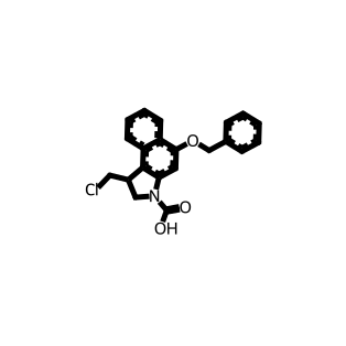 O=C(O)N1CC(CCl)c2c1cc(OCc1ccccc1)c1ccccc21